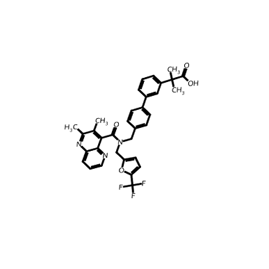 Cc1nc2cccnc2c(C(=O)N(Cc2ccc(-c3cccc(C(C)(C)C(=O)O)c3)cc2)Cc2ccc(C(F)(F)F)o2)c1C